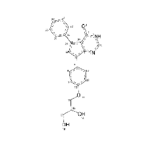 O=c1[nH]cnc2c(-c3ccc(OCC(O)CO)cc3)cn(-c3ccccc3)c12